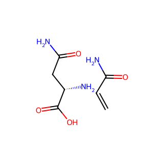 C=CC(N)=O.NC(=O)C[C@H](N)C(=O)O